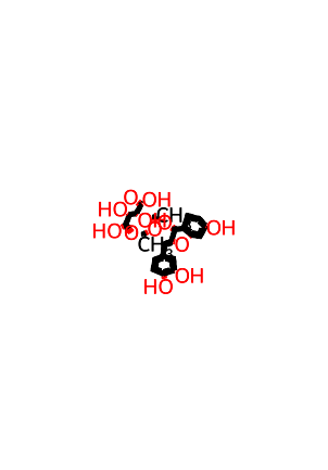 CCOCC.O=C(O)C(O)C(O)C(=O)O.O=C1/C(=C/c2ccc(O)c(O)c2)Oc2cc(O)ccc21